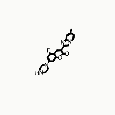 Cc1ccn2cc(-c3cc4c(F)cc(N5CCNCC5)cc4oc3=O)nc2c1